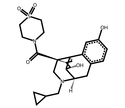 O=C([C@H]1C[C@]23CCN(CC4CC4)[C@H](Cc4ccc(O)cc42)[C@]3(O)C1)N1CCS(=O)(=O)CC1